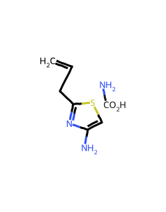 C=CCc1nc(N)cs1.NC(=O)O